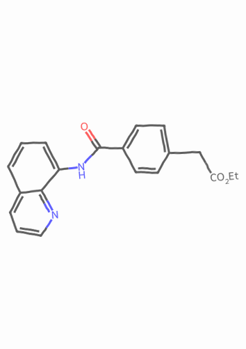 CCOC(=O)Cc1ccc(C(=O)Nc2cccc3cccnc23)cc1